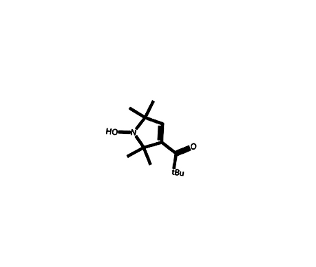 CC(C)(C)C(=O)C1=CC(C)(C)N(O)C1(C)C